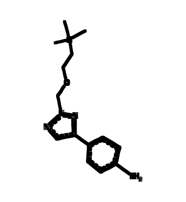 Bc1ccc(-c2cnn(COCC[Si](C)(C)C)n2)cc1